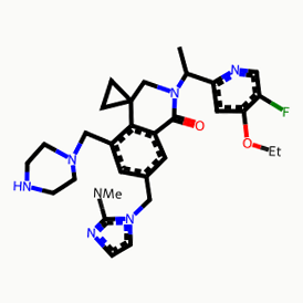 CCOc1cc(C(C)N2CC3(CC3)c3c(CN4CCNCC4)cc(Cn4ccnc4NC)cc3C2=O)ncc1F